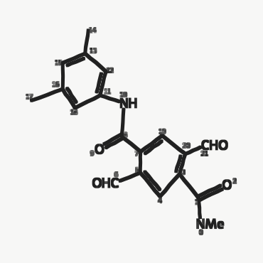 CNC(=O)c1cc(C=O)c(C(=O)Nc2cc(C)cc(C)c2)cc1C=O